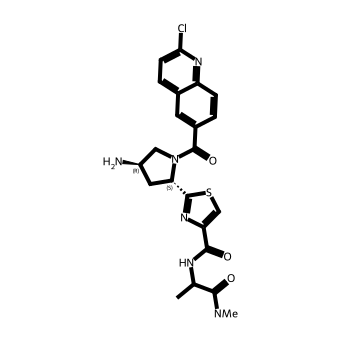 CNC(=O)C(C)NC(=O)c1csc([C@@H]2C[C@@H](N)CN2C(=O)c2ccc3nc(Cl)ccc3c2)n1